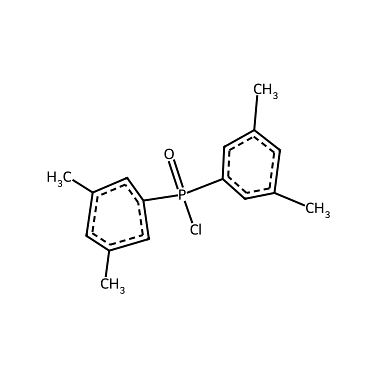 Cc1cc(C)cc(P(=O)(Cl)c2cc(C)cc(C)c2)c1